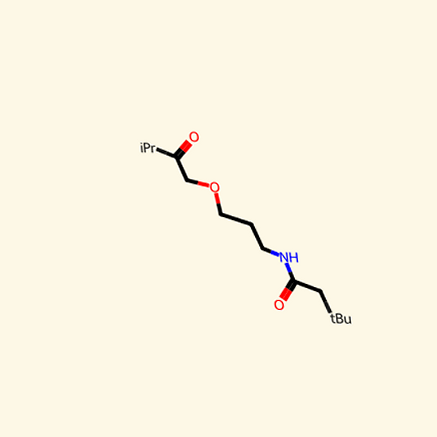 CC(C)C(=O)COCCCNC(=O)CC(C)(C)C